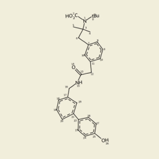 CC(C)(C)N(C(=O)O)C(C)(C)Cc1cccc(CC(=O)NCc2cccc(-c3ccc(O)cc3)c2)c1